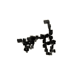 Cc1ccc(S(=O)(=O)O)cc1.Cc1ccc(S(=O)(=O)O)cc1.Cc1ccc(S(=O)(=O)O)cc1.Cc1ccc(S(=O)(=O)O)cc1.OCCOCCCc1cc(-c2c3nc(c(-c4ccnc(CCCOCCO)c4)c4ccc([nH]4)c(-c4ccnc(CCCOCCO)c4)c4nc(c(-c5ccnc(CCCOCCO)c5)c5ccc2[nH]5)C=C4)C=C3)ccn1